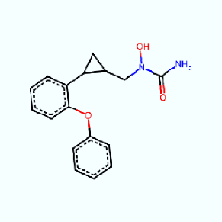 NC(=O)N(O)CC1CC1c1ccccc1Oc1ccccc1